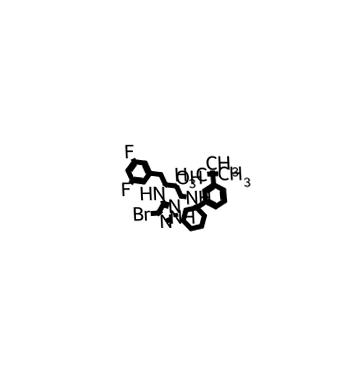 CC(C)(C)c1cccc(C2(NCC(O)C(Cc3cc(F)cc(F)c3)Nc3n[nH]nc3Br)CCCCC2)c1